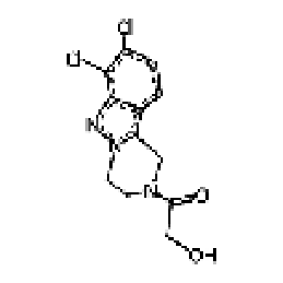 O=C(CO)N1CCn2nc3c(Cl)c(Cl)ccc3c2C1